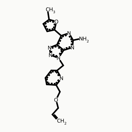 C=CCOCc1cccc(Cn2nnc3c(-c4ccc(C)o4)nc(N)nc32)n1